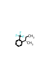 C[CH][C@H](C)c1ccccc1C(F)(F)F